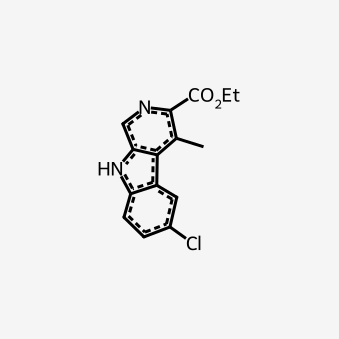 CCOC(=O)c1ncc2[nH]c3ccc(Cl)cc3c2c1C